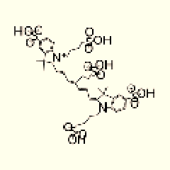 CC1(C)C(/C=C/C=C(/C=C/C=C2/N(CCCCS(=O)(=O)O)c3ccc(S(=O)(=O)O)cc3C2(C)C)CCS(=O)(=O)O)=[N+](CCCCS(=O)(=O)O)c2ccc(S(=O)(=O)O)cc21